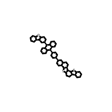 c1ccc2c(c1)oc1ccc(-c3c4ccccc4c(-c4ccc(-c5ccc6c(ccc7c6sc6ccc8c9ccccc9sc8c67)c5)cc4)c4ccccc34)cc12